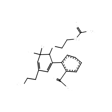 CCCCCCCCCCCCC1=CC(Br)(C(F)(F)F)C(OCCNC(=O)OC)C(c2ccccc2C(N)=O)=C1